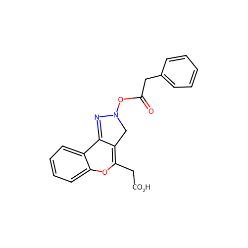 O=C(O)CC1=C2CN(OC(=O)Cc3ccccc3)N=C2c2ccccc2O1